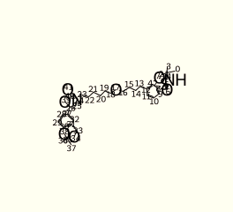 CC(C)(C)NS(=O)(=O)c1cccc(CCCCOCCCCCCN2C[C@@H](c3ccc4c(c3)COC(C)(C)O4)OC2=O)c1